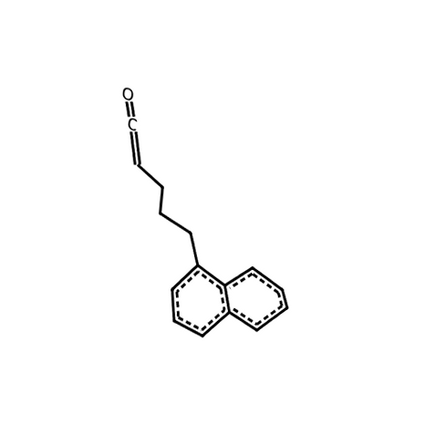 O=C=CCCCc1cccc2ccccc12